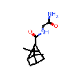 CC1(C)C2CC3C(C(=O)NCC(N)=O)C3(C)C1C2